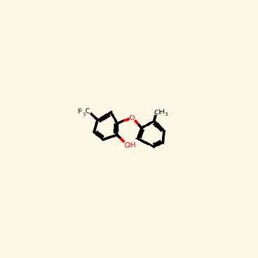 Cc1ccccc1Oc1cc(C(F)(F)F)ccc1O